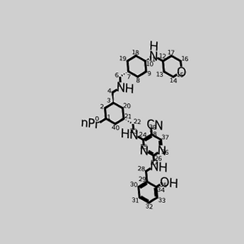 CCCC1C[C@@H](CNC[C@H]2CC[C@@H](NC3CCOCC3)CC2)C[C@H](CNc2nc(NCc3ccccc3O)ncc2C#N)C1